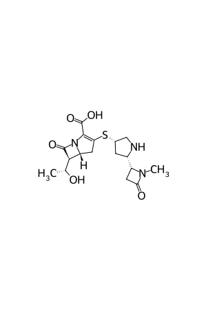 C[C@@H](O)[C@H]1C(=O)N2C(C(=O)O)=C(S[C@@H]3CN[C@H](C4CC(=O)N4C)C3)C[C@H]12